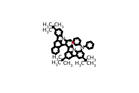 CC(C)(C)c1ccc2c(c1)c1cc3ccccc3c3c4c5c6cc(C(C)(C)C)cc7c8cc(C(C)(C)C)cc(N(c9ccccc9)c9ccccc9)c8n(c5ncc4n2c13)c76